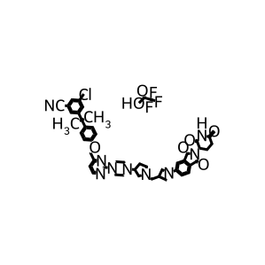 CC(C)(c1ccc(OCc2ccnc(N3CCN(C4CCN(CC5CN(c6ccc7c(c6)C(=O)N(C6CCC(=O)NC6=O)C7=O)C5)C4)CC3)n2)cc1)c1cc(Cl)cc(C#N)c1.O=C(O)C(F)(F)F